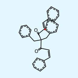 O=C(/C=C\c1ccccc1)C(Cc1ccccc1)(Cc1ccccc1)C(=O)/C=C/c1ccccc1